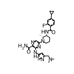 C[C@@H]1[C@H](NC(=O)c2ccc(C3CC3)cc2F)CCCN1c1cnc(C(N)=O)c(Nc2cc(CN(C)C)ns2)n1